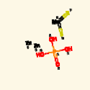 O=P(O)(O)O.[S]=[Mo]=[S].[Zn].[Zn]